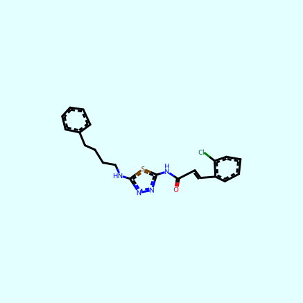 O=C(C=Cc1ccccc1Cl)Nc1nnc(NCCCCc2ccccc2)s1